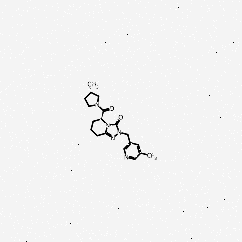 C[C@H]1CCN(C(=O)[C@@H]2CCCc3nn(Cc4cncc(C(F)(F)F)c4)c(=O)n32)C1